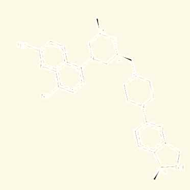 Bc1ccc2c(N3C[C@H](CN4CCN(c5ccc6c(n5)CN[C@H]6C)CC4)O[C@H](C)C3)ccc(C#N)c2n1